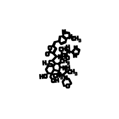 C=C1C(NC(C)C(=O)N2CCOCC2)CC2[C@](C)(CC[C@@H](O)[C@@]2(C)CO)C1CC(NC(C)C(=O)NC1=NCC=N1)C1=C/C(=C\c2ccc3c(c2)ncn3C)OC1=O